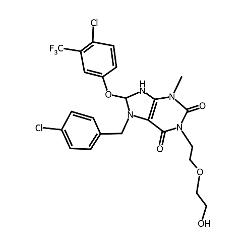 Cn1c2c(c(=O)n(CCOCCO)c1=O)N(Cc1ccc(Cl)cc1)C(Oc1ccc(Cl)c(C(F)(F)F)c1)N2